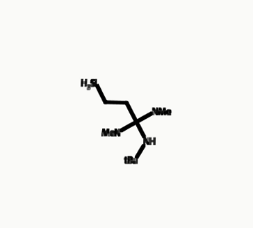 CNC(CC[SiH3])(NC)NC(C)(C)C